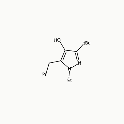 CCn1nc(C(C)(C)C)c(O)c1CC(C)C